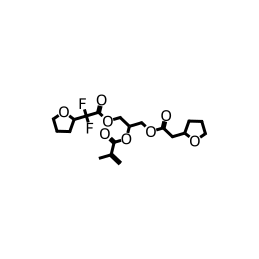 C=C(C)C(=O)OC(COC(=O)CC1CCCO1)COC(=O)C(F)(F)C1CCCO1